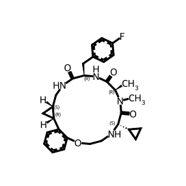 C[C@@H]1C(=O)N[C@H](Cc2ccc(F)cc2)C(=O)NC[C@H]2C[C@H]2c2ccccc2OCCN[C@@H](C2CC2)C(=O)N1C